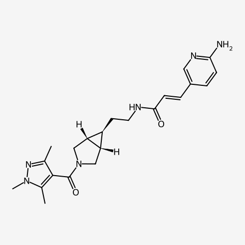 Cc1nn(C)c(C)c1C(=O)N1C[C@@H]2[C@@H](CCNC(=O)/C=C/c3ccc(N)nc3)[C@@H]2C1